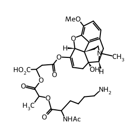 COc1ccc2c3c1O[C@H]1C(OC(=O)CC(OC(=O)C(C)OC(=O)C(CCCCN)NC(C)=O)C(=O)O)=CC[C@@]4(O)[C@@H](C2)N(C)CC[C@]314